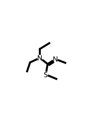 CCN(CC)C(=NC)SC